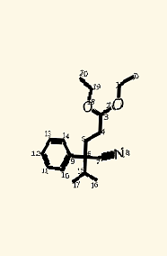 CCOC(CCC(C#N)(c1ccccc1)C(C)C)OCC